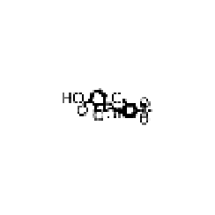 CC1C(C(=O)O)=CC=CC1(CCc1ccc(S(C)(=O)=O)cc1Cl)C(=O)O